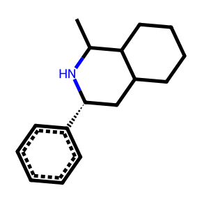 CC1N[C@@H](c2ccccc2)CC2CCCCC21